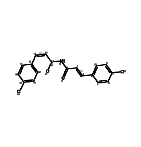 O=C(/C=C/c1ccc(Cl)cc1)N[S+]([O-])/C=C\c1ccc(Cl)cc1